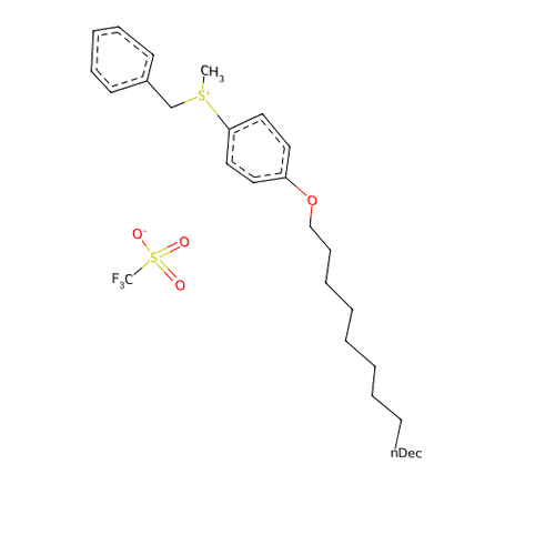 CCCCCCCCCCCCCCCCCCOc1ccc([S+](C)Cc2ccccc2)cc1.O=S(=O)([O-])C(F)(F)F